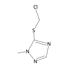 Cn1ncnc1SCCl